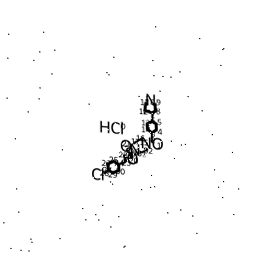 Cl.O=C(c1ccc(-c2ccncc2)cc1)N1CCN(S(=O)(=O)C=Cc2ccc(Cl)cc2)CC1